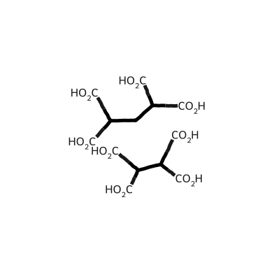 O=C(O)C(C(=O)O)C(C(=O)O)C(=O)O.O=C(O)C(CC(C(=O)O)C(=O)O)C(=O)O